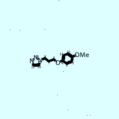 COc1ccc(OCCCn2ccnn2)cc1